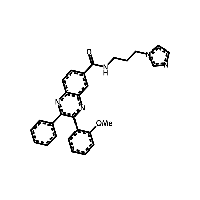 COc1ccccc1-c1nc2cc(C(=O)NCCCn3ccnc3)ccc2nc1-c1ccccc1